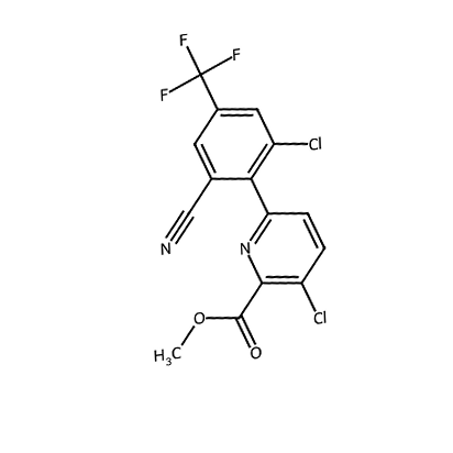 COC(=O)c1nc(-c2c(Cl)cc(C(F)(F)F)cc2C#N)ccc1Cl